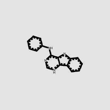 c1ccc(Nc2nc[nH]c3c4ccccc4nc2-3)cc1